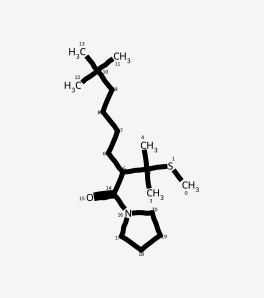 CSC(C)(C)C(CCCCC(C)(C)C)C(=O)N1CCCC1